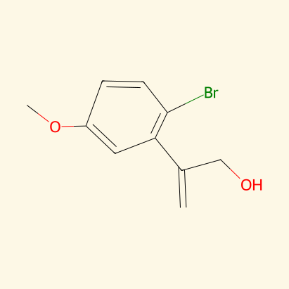 C=C(CO)c1cc(OC)ccc1Br